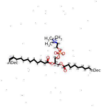 CCCCCCCCCC/C=C\CCCCCCCCCC(=O)O[C@H](COC(=O)CCCCCCCCCCCCCCCCC)COP(=O)([O-])OCC[N+](C)(C)C